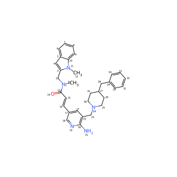 CN(Cc1cc2ccccc2n1C)C(=O)/C=C/c1cnc(N)c(CN2CCC(Cc3ccccc3)CC2)c1